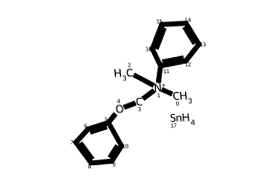 C[N+](C)(COc1ccccc1)c1ccccc1.[SnH4]